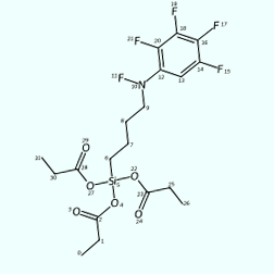 CCC(=O)O[Si](CCCCN(F)c1cc(F)c(F)c(F)c1F)(OC(=O)CC)OC(=O)CC